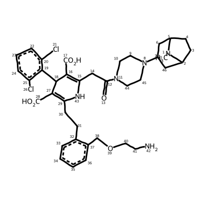 CN1C2CCC1CC(N1CCN(C(=O)CC3=C(C(=O)O)C(c4c(Cl)cccc4Cl)C(C(=O)O)=C(CCc4ccccc4COCCN)N3)CC1)C2